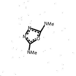 CNc1nnc(NC)o1